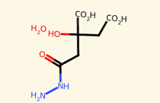 NNC(=O)CC(O)(CC(=O)O)C(=O)O.O